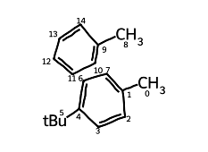 Cc1ccc(C(C)(C)C)cc1.Cc1ccccc1